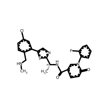 CNCc1ccc(Cl)cc1-c1cnc([C@@H](C)NC(=O)c2ccc(=O)n(-c3ccccc3F)c2)s1